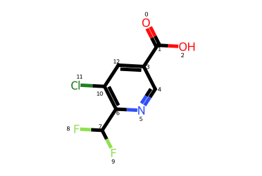 O=C(O)c1cnc(C(F)F)c(Cl)c1